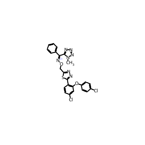 Cn1nnnc1/C(=N\OCc1nnc(-c2ccc(Cl)cc2Oc2ccc(Cl)cc2)s1)c1ccccc1